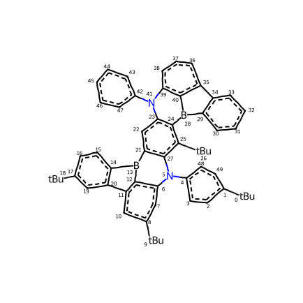 CC(C)(C)c1ccc(N2c3cc(C(C)(C)C)cc4c3B(c3ccc(C(C)(C)C)cc3-4)c3cc4c(c(C(C)(C)C)c32)B2c3ccccc3-c3cccc(c32)N4c2ccccc2)cc1